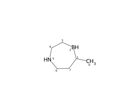 CC1BCCNCC1